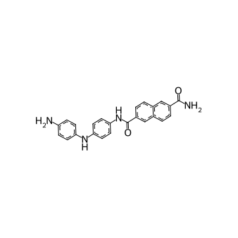 NC(=O)c1ccc2cc(C(=O)Nc3ccc(Nc4ccc(N)cc4)cc3)ccc2c1